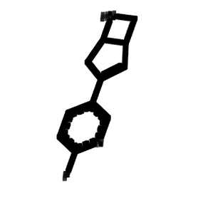 Fc1ccc(C2=CC3CNC3C2)cn1